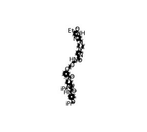 CCc1cc2ncc(CN3CCN(c4ccc(C(=O)NCCOCCOc5cccc(C(=O)N6CCc7c(nc(C(=O)Nc8ccc(OC(C)C)cc8)n7C(C)C)C6)c5)nc4)CC3)cc2[nH]c1=O